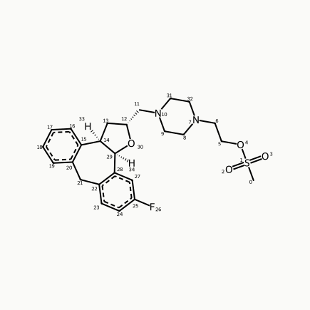 CS(=O)(=O)OCCN1CCN(C[C@H]2C[C@@H]3c4ccccc4Cc4ccc(F)cc4[C@@H]3O2)CC1